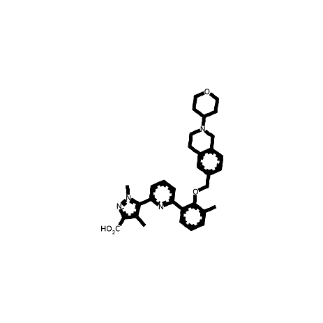 Cc1cccc(-c2cccc(-c3c(C)c(C(=O)O)nn3C)n2)c1OCc1ccc2c(c1)CCN(C1CCOCC1)C2